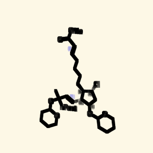 CCCCCC(C)(/C=C/[C@@H]1[C@@H](CCCC/C=C/C(=O)OC)[C@H](Cl)C[C@H]1OC1CCCCO1)OC1CCCCO1